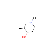 CC(C)N1CC[C@H](O)[C@@H](C)C1